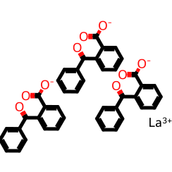 O=C([O-])c1ccccc1C(=O)c1ccccc1.O=C([O-])c1ccccc1C(=O)c1ccccc1.O=C([O-])c1ccccc1C(=O)c1ccccc1.[La+3]